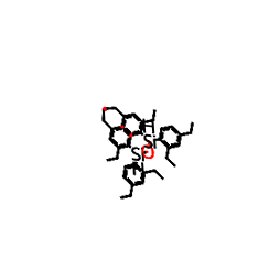 CCc1ccc([SiH](O[SiH](c2ccc(CC)cc2CC)c2ccc(CC)cc2CC)c2ccc(CC)cc2CC)c(CC)c1